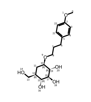 COc1ccc(CCCO[C@@H]2C[C@H](CO)[C@@H](O)[C@H](O)[C@H]2O)cc1